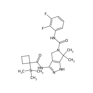 CC1(C)c2[nH]nc(NC(=O)C3([Si](C)(C)C)CCC3)c2CN1C(=O)Nc1cccc(F)c1F